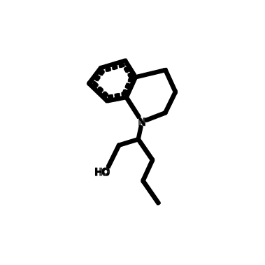 CCCC(CO)N1CCCc2ccccc21